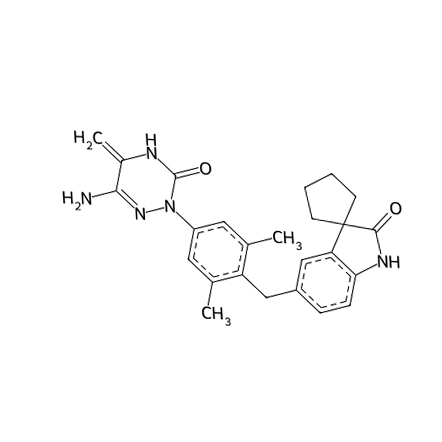 C=C1NC(=O)N(c2cc(C)c(Cc3ccc4c(c3)C3(CCCC3)C(=O)N4)c(C)c2)N=C1N